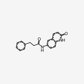 O=C(CCc1ccccc1)Nc1ccc2[nH]c(=O)ccc2c1